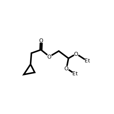 CCOC(COC(=O)CC1CC1)OCC